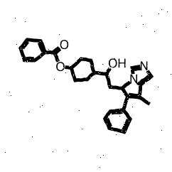 CC1=C(c2ccccc2)C(CC(O)C2CCC(OC(=O)c3ccccc3)CC2)n2cncc21